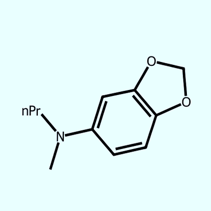 CCCN(C)c1ccc2c(c1)OCO2